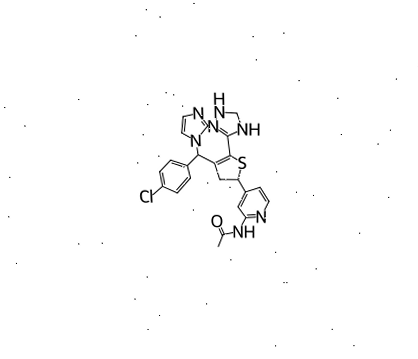 CC(=O)Nc1cc(C2CC(C(c3ccc(Cl)cc3)n3ccnc3)=C(C3=NNCN3)S2)ccn1